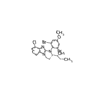 CCC(O)C1CCn2c(nc3c(Cl)cccc32)N1c1c(Br)cc(OC)cc1Br